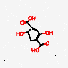 O=C(O)C1=CC(O)=C(C(=O)O)CC1O